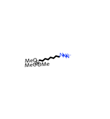 CO[Si](CCCCCCCCN=[N+]=[N-])(OC)OC